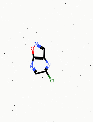 Clc1cnc2oncc2n1